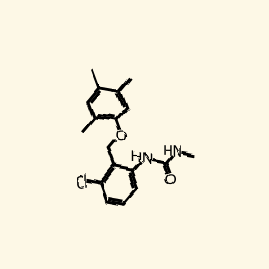 CNC(=O)Nc1cccc(Cl)c1COc1cc(C)c(C)cc1C